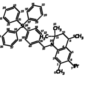 Cc1cc2c(cc1C(C)C)C(C)CC(C)(C)N2Cc1ccc([Si](c2ccccc2)(c2ccccc2)c2ccccc2)cc1